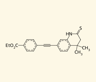 CCOC(=O)c1ccc(C#Cc2ccc3c(c2)NC(=S)CC3(C)C)cc1